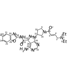 CCN(CC)CC=CC(=O)N1CCC(n2nc(C(=O)Nc3nc4cc(Cl)ccc4o3)c3c(N)ncnc32)C1